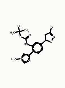 Cn1cnc(-c2ccc(C3CC(Br)=NO3)cc2NC(=O)OC(C)(C)C)c1